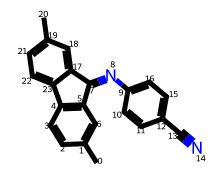 Cc1ccc2c(c1)C(=Nc1ccc(C#N)cc1)c1cc(C)ccc1-2